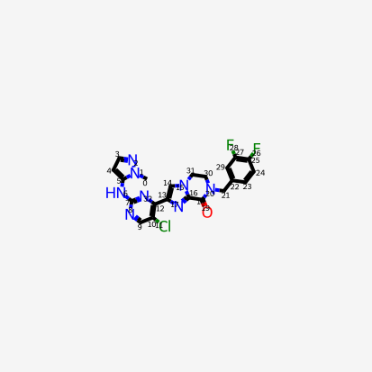 Cn1nccc1Nc1ncc(Cl)c(-c2cn3c(n2)C(=O)N(Cc2ccc(F)c(F)c2)CC3)n1